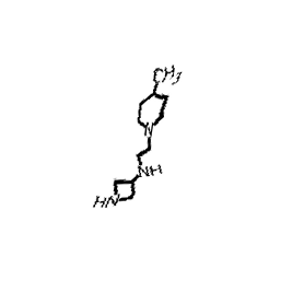 CC1CCN(CCNC2CNC2)CC1